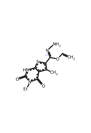 C=CO/C(=N\N)c1sc2[nH]c(=O)n(CC)c(=O)c2c1C